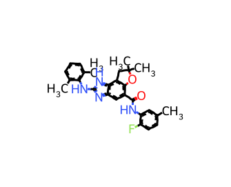 Cc1ccc(F)c(NC(=O)c2cc3nc(Nc4c(C)cccc4C)[nH]c3c3c2OC(C)(C)C3)c1